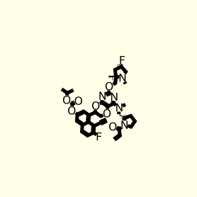 C#Cc1c(F)ccc2cc(OC(=O)OC(C)C)cc(C3COc4c(nc(OC[C@]5(C)C[C@@H](F)CN5C)nc4N(C)C[C@@H]4CCCN4C(=O)C=C)O3)c12